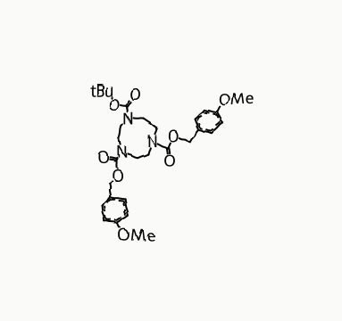 COc1ccc(COC(=O)N2CCN(C(=O)OCc3ccc(OC)cc3)CCN(C(=O)OC(C)(C)C)CC2)cc1